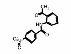 CC(=O)c1ccccc1NC(=O)c1ccc([N+](=O)[O-])cc1